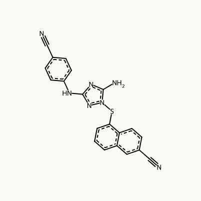 N#Cc1ccc(Nc2nc(N)n(Sc3cccc4cc(C#N)ccc34)n2)cc1